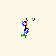 O=Cc1nnc(-c2cnn(C(F)F)c2)o1